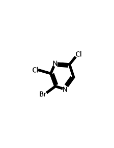 Clc1cnc(Br)c(Cl)n1